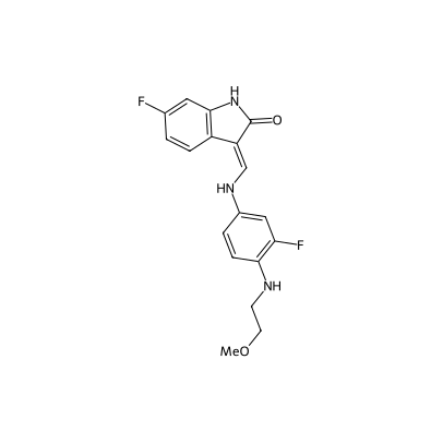 COCCNc1ccc(N/C=C2/C(=O)Nc3cc(F)ccc32)cc1F